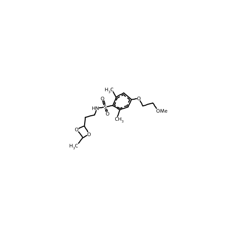 COCCOc1cc(C)c(S(=O)(=O)NCCC2OC(C)O2)c(C)c1